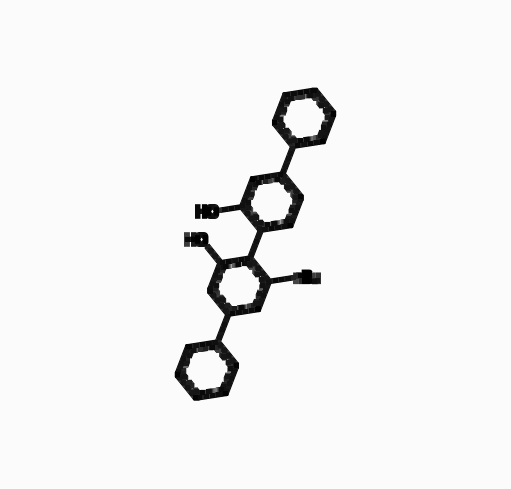 CCCCc1cc(-c2ccccc2)cc(O)c1-c1ccc(-c2ccccc2)cc1O